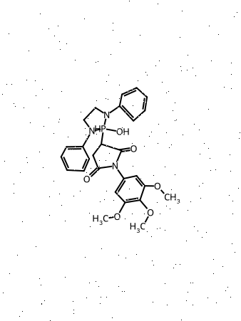 COc1cc(N2C(=O)CC([PH]3(O)N(c4ccccc4)CCN3c3ccccc3)C2=O)cc(OC)c1OC